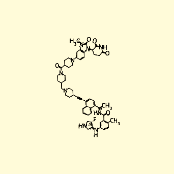 Cc1ccc(N[C@H]2CNC[C@@H]2F)cc1C(=O)N[C@H](C)c1ccc(C#CC2CCN(CC3CCN(C(=O)C4CCN(c5ccc6c(c5)n(C)c(=O)n6C5CCC(=O)NC5=O)CC4)CC3)CC2)c2ccccc12